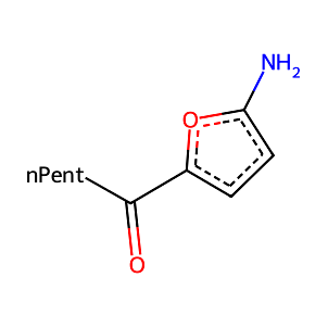 CCCCCC(=O)c1ccc(N)o1